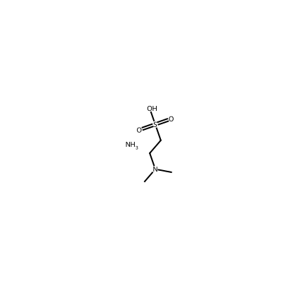 CN(C)CCS(=O)(=O)O.N